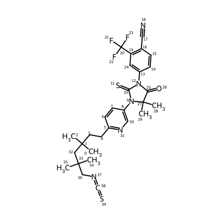 CC(C)(CCc1ccc(N2C(=S)N(c3ccc(C#N)c(C(F)(F)F)c3)C(=O)C2(C)C)cn1)CC(C)(C)CN=C=S